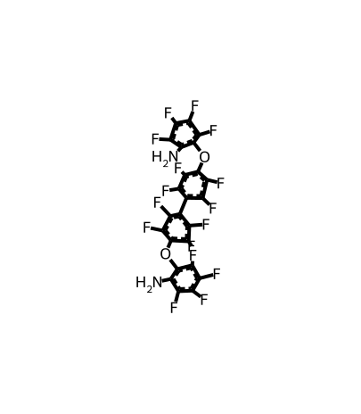 Nc1c(F)c(F)c(F)c(F)c1Oc1c(F)c(F)c(-c2c(F)c(F)c(Oc3c(N)c(F)c(F)c(F)c3F)c(F)c2F)c(F)c1F